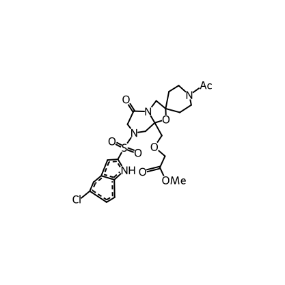 COC(=O)COCC12CN(S(=O)(=O)c3cc4cc(Cl)ccc4[nH]3)CC(=O)N1CC1(CCN(C(C)=O)CC1)O2